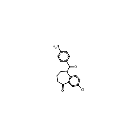 Nc1ccc(C(=O)N2CCCC(=O)c3cc(Cl)ccc32)cn1